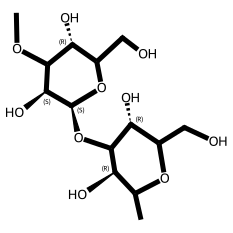 COC1[C@H](O)C(CO)O[C@@H](OC2[C@H](O)C(C)OC(CO)[C@H]2O)[C@H]1O